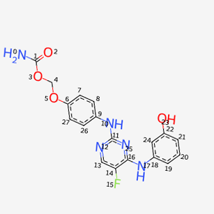 NC(=O)OCOc1ccc(Nc2ncc(F)c(Nc3cccc(O)c3)n2)cc1